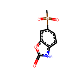 CS(=O)(=O)c1ccc2[nH]c(=O)oc2c1